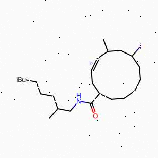 CCC(C)CCCC(C)CNC(=O)C1C/C=C\C(C)CC(I)CCCCC1